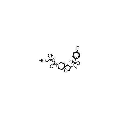 CN(C1COC2(CCN(C(=O)O[C@@H](CO)C(F)(F)F)CC2)C1)S(=O)(=O)c1ccc(F)cc1